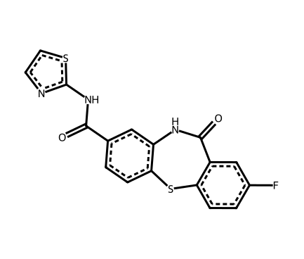 O=C(Nc1nccs1)c1ccc2c(c1)NC(=O)c1cc(F)ccc1S2